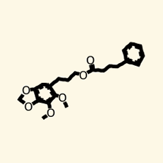 COc1c(CCCOC(=O)CCCc2ccccc2)cc2c(c1OC)OCO2